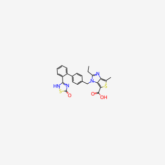 CCc1nc2c(C)sc(C(=O)O)c2n1Cc1ccc(-c2ccccc2-c2nc(=O)s[nH]2)cc1